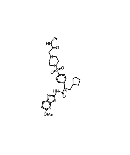 COc1ccc2nc(NC(=O)[C@H](CC3CCCC3)c3ccc(S(=O)(=O)N4CCN(CC(=O)NC(C)C)CC4)cc3)sc2n1